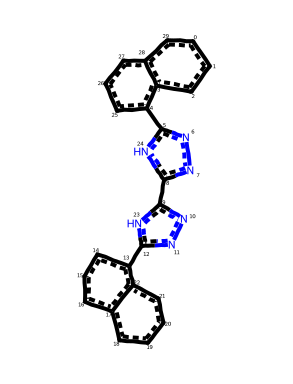 c1ccc2c(-c3nnc(-c4nnc(-c5cccc6ccccc56)[nH]4)[nH]3)cccc2c1